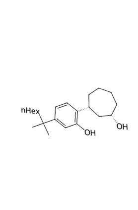 CCCCCCC(C)(C)c1ccc([C@@H]2CCCC[C@H](O)C2)c(O)c1